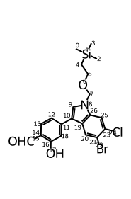 C[Si](C)(C)CCOCn1cc(-c2ccc(C=O)c(O)c2)c2cc(Br)c(Cl)cc21